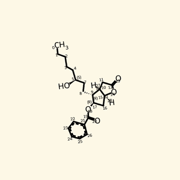 CCCCC[C@H](O)CC[C@@H]1[C@H]2CC(=O)O[C@H]2C[C@H]1OC(=O)c1ccccc1